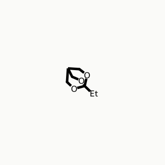 CCC12OCC(CO1)CO2